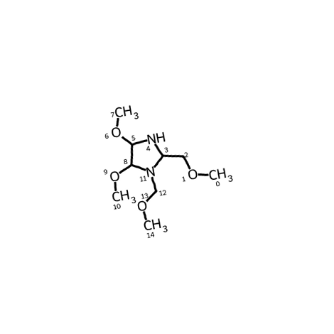 COCC1NC(OC)C(OC)N1COC